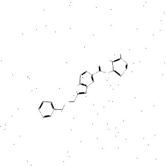 CC(=O)c1cccc(NC(=O)c2ccc3oc(COCc4ccccc4)cc3c2)c1O